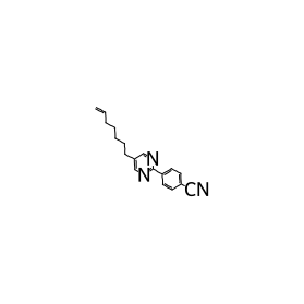 C=CCCCCCc1cnc(-c2ccc(C#N)cc2)nc1